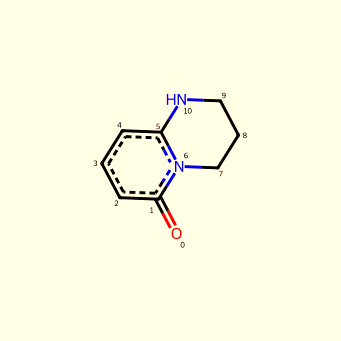 O=c1cccc2n1CCCN2